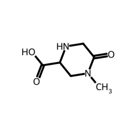 CN1CC(C(=O)O)NCC1=O